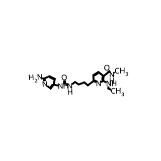 CCNc1nc(CCCCNC(=O)Nc2ccc(N)nc2)ccc1C(=O)NC